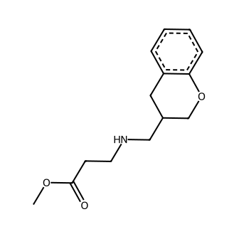 COC(=O)CCNCC1COc2ccccc2C1